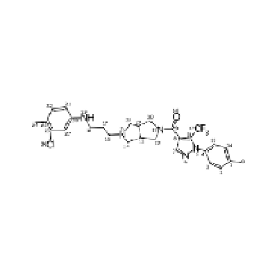 Cc1ccc(-n2ncc(C(=O)N3CC4CN(CCCNc5ccc(C)c(Cl)c5)CC4C3)c2C(F)(F)F)cc1